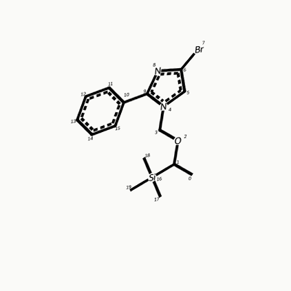 CC(OCn1cc(Br)nc1-c1ccccc1)[Si](C)(C)C